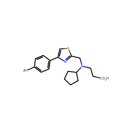 CC(C)c1ccc(-c2csc(CN(CCC(=O)O)C3CCCC3)n2)cc1